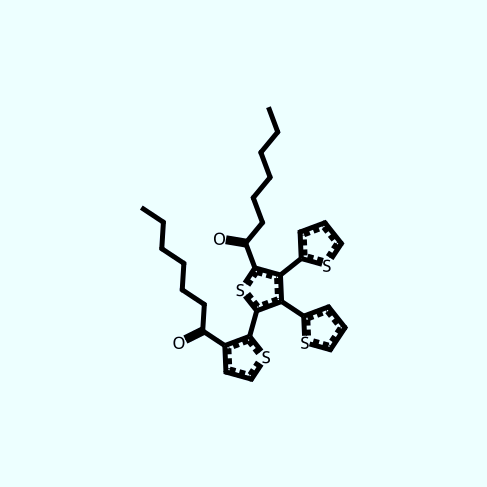 CCCCCCC(=O)c1ccsc1-c1sc(C(=O)CCCCCC)c(-c2cccs2)c1-c1cccs1